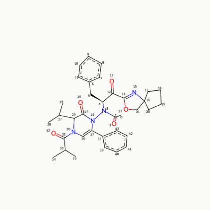 CC(=O)N([C@@H](Cc1ccccc1)C(=O)C1=NC2(CCCC2)CO1)N1C(=O)C(C(C)C)N(C(=O)C(C)C)C=C1c1ccccc1